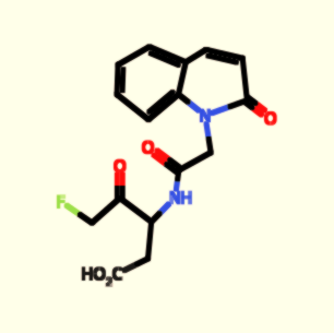 O=C(O)CC(NC(=O)Cn1c(=O)ccc2ccccc21)C(=O)CF